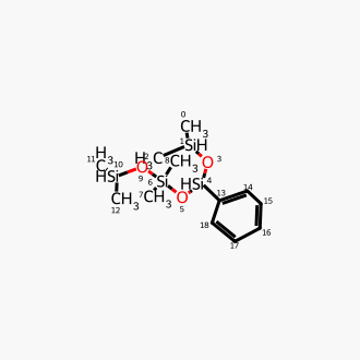 C[SiH](C)O[SiH](O[Si](C)(C)O[SiH](C)C)c1ccccc1